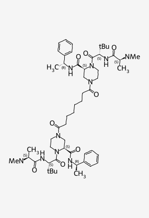 CN[C@@H](C)C(=O)N[C@H](C(=O)N1CCN(C(=O)CCCCCCC(=O)N2CCN(C(=O)[C@@H](NC(=O)[C@H](C)NC)C(C)(C)C)[C@H](C(=O)N[C@H](C)c3ccccc3)C2)C[C@H]1C(=O)N[C@H](C)c1ccccc1)C(C)(C)C